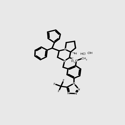 COc1ccc(-n2nnnc2C(F)(F)F)cc1CN1CC(C(c2ccccc2)c2ccccc2)N2CCC[C@H]2C1C.Cl.Cl